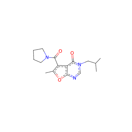 Cc1oc2ncn(CC(C)C)c(=O)c2c1C(=O)N1CCCC1